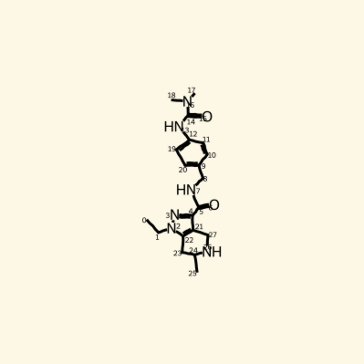 CCn1nc(C(=O)NCc2ccc(NC(=O)N(C)C)cc2)c2c1CC(C)NC2